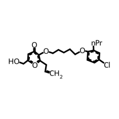 C=CCc1oc(CO)cc(=O)c1OCCCCCOc1ccc(Cl)cc1CCC